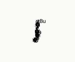 CC(C)(C)Oc1ccc(C=Cc2ccn(-c3ccc(OC4CCCCO4)cc3)c(=O)c2)cc1